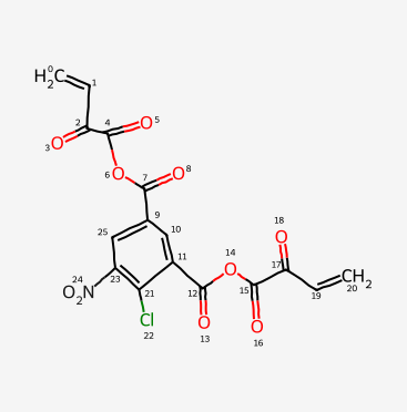 C=CC(=O)C(=O)OC(=O)c1cc(C(=O)OC(=O)C(=O)C=C)c(Cl)c([N+](=O)[O-])c1